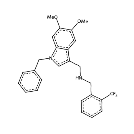 COc1cc2c(CNCc3ccccc3C(F)(F)F)cn(Cc3ccccc3)c2cc1OC